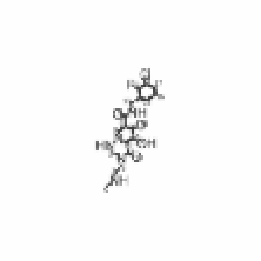 CNCCN1CNn2cc(C(=O)NCc3cccc(Cl)c3F)c(=O)c(O)c2C1=O